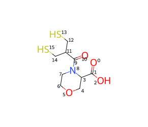 O=C(O)C1COCCN1C(=O)C(CS)CS